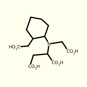 O=C(O)CC1CCCCC1N(CC(=O)O)C(CC(=O)O)C(=O)O